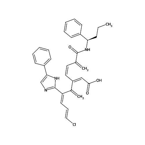 C=C(/C=C\C(=C\C(=O)O)C(=C)/C(=C\C=C\Cl)c1ncc(-c2ccccc2)[nH]1)C(=O)N[C@H](CCC)c1ccccc1